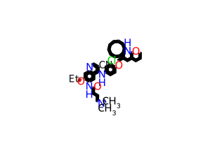 CCOc1cc2ncc(C#N)c(Nc3ccc(OCC4CC5CCCOC5NC45CCCCCCCCC5)c(Cl)c3)c2cc1NC(=O)CCCN(C)C